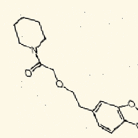 O=C(COCCc1ccc2c(c1)OCO2)N1CCCCC1